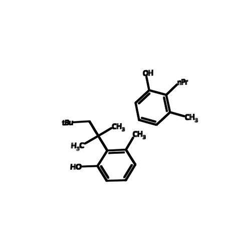 CCCc1c(C)cccc1O.Cc1cccc(O)c1C(C)(C)CC(C)(C)C